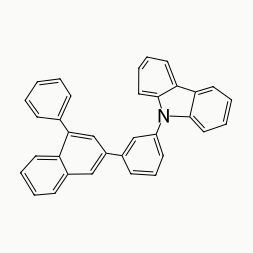 c1ccc(-c2cc(-c3cccc(-n4c5ccccc5c5ccccc54)c3)cc3ccccc23)cc1